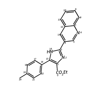 CCOC(=O)c1nc(-c2cnc3ccccc3c2)[nH]c1-c1ccc(C)cc1